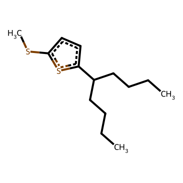 CCCCC(CCCC)c1ccc(SC)s1